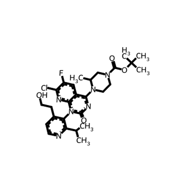 CC(C)c1nccc(CCO)c1-n1c(=O)nc(N2CCN(C(=O)OC(C)(C)C)CC2C)c2cc(F)c(Cl)nc21